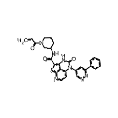 C=CC(=O)N1CCCC(NC(=O)c2sc3nccc4c3c2NC(=O)N4c2cnnc(-c3ccccc3)c2)C1